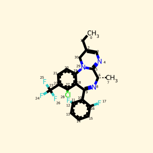 CCC1=CN=C2[C@H](C)N=C(c3c(F)cccc3F)c3c(ccc(C(F)(F)F)c3Cl)N2C1